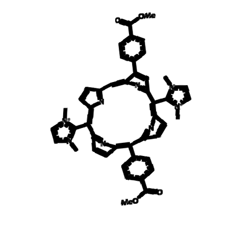 COC(=O)c1ccc(C2=CC3=NC2=CC2=NC(=C(c4n(C)cc[n+]4C)C4=NC(=C(c5ccc(C(=O)OC)cc5)C5=NC(=C3c3n(C)cc[n+]3C)C=C5)C=C4)C=C2)cc1